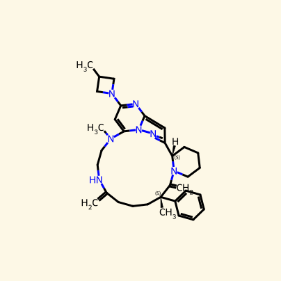 C=C1CCC[C@@](C)(c2ccccc2)C(=C)N2CCCC[C@H]2c2cc3nc(N4CC(C)C4)cc(n3n2)N(C)CCN1